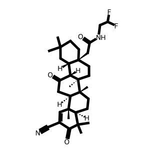 CC1(C)CC[C@]2(CC(=O)NCC(F)F)CC[C@]3(C)[C@H](C(=O)C[C@@H]4[C@@]5(C)C=C(C#N)C(=O)C(C)(C)[C@@H]5CC[C@]43C)[C@@H]2C1